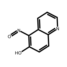 O=Nc1c(O)ccc2ncccc12